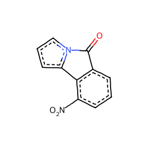 O=C1c2cccc([N+](=O)[O-])c2-c2cccn21